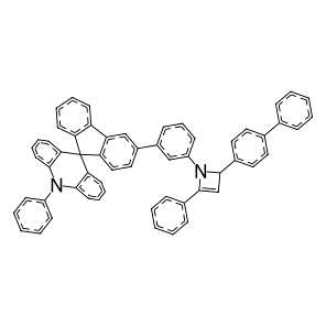 C1=C(c2ccccc2)N(c2cccc(-c3ccc4c(c3)-c3ccccc3C43c4ccccc4N(c4ccccc4)c4ccccc43)c2)C1c1ccc(-c2ccccc2)cc1